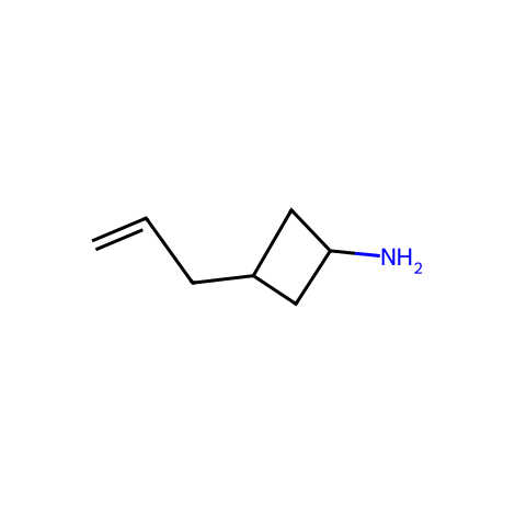 C=CCC1CC(N)C1